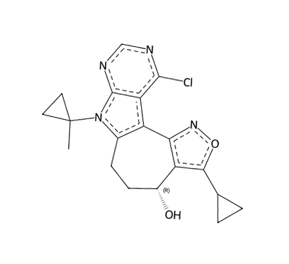 CC1(n2c3c(c4c(Cl)ncnc42)-c2noc(C4CC4)c2[C@H](O)CC3)CC1